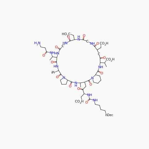 CCCCCCCCCCCCCCNC(=O)NC(CC(=O)O)C(=O)CC1C(=O)N2CCCCC2C(=O)NC(C(C)C(=O)O)C(=O)CC(CC(=O)O)C(=O)NCC(=O)NC(CC(=O)O)C(=O)NCC(=O)NC(C(C)NC(=O)CCN)C(=O)NC(C(C)C)C(=O)N2CCCC2C(=O)NC1C